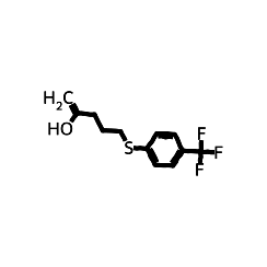 C=C(O)CCCSc1ccc(C(F)(F)F)cc1